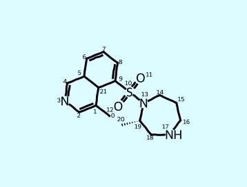 CC1=CN=CC2C=CC=C(S(=O)(=O)N3CCCNC[C@@H]3C)C12